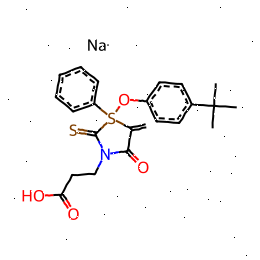 C=C1C(=O)N(CCC(=O)O)C(=S)S1(Oc1ccc(C(C)(C)C)cc1)c1ccccc1.[Na]